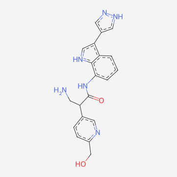 NCC(C(=O)Nc1cccc2c(-c3cn[nH]c3)c[nH]c12)c1ccc(CO)nc1